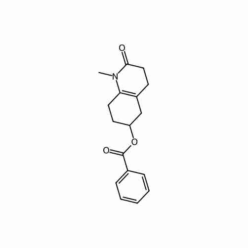 CN1C(=O)CCC2=C1CCC(OC(=O)c1ccccc1)C2